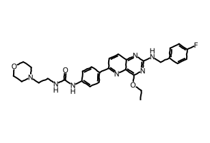 CCOc1nc(NCc2ccc(F)cc2)nc2ccc(-c3ccc(NC(=O)NCCN4CCOCC4)cc3)nc12